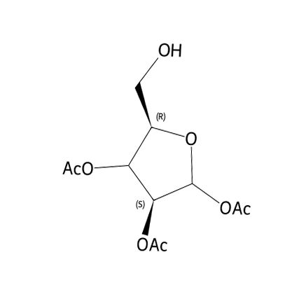 CC(=O)OC1O[C@H](CO)C(OC(C)=O)[C@@H]1OC(C)=O